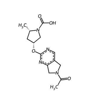 CC(=O)N1Cc2cnc(O[C@@H]3C[C@H](C)N(C(=O)O)C3)nc2C1